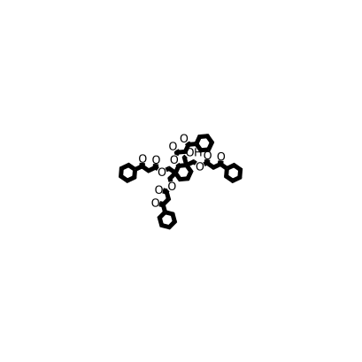 O=C(CC(=O)C1CCCCC1)OCC1(CO)CCCC(COC(=O)CC(=O)C2CCCCC2)(COC(=O)CC(=O)C2CCCCC2)C1OC(=O)CC(=O)C1CCCCC1